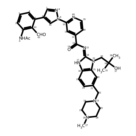 CC(=O)Nc1cccc(-c2cnn(-c3cc(C(=O)/N=c4\[nH]c5ccc(CN6CCN(C)CC6)cc5n4CC(C)(C)O)ccn3)c2)c1C=O